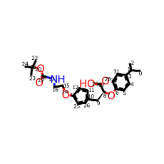 CC(C)c1ccc(O[C@@H](Cc2ccc(OCCNC(=O)OC(C)(C)C)cc2)C(=O)O)cc1